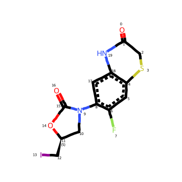 O=C1CSc2cc(F)c(N3C[C@@H](CI)OC3=O)cc2N1